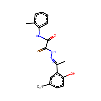 C/C(=N\NC(=S)C(=O)Nc1ccccc1C)c1cc([N+](=O)[O-])ccc1O